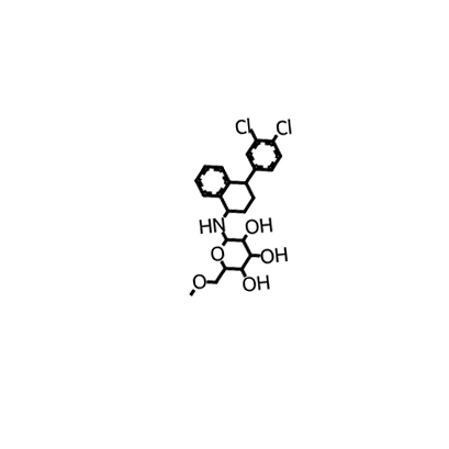 COCC1OC(NC2CCC(c3ccc(Cl)c(Cl)c3)c3ccccc32)C(O)C(O)C1O